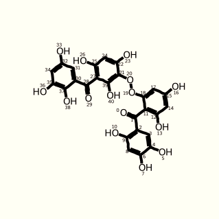 O=C(c1cc(O)c(O)cc1O)c1c(O)cc(O)cc1OOc1c(O)cc(O)c(C(=O)c2cc(O)cc(O)c2O)c1O